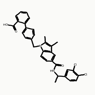 Cc1c(C)n(Cc2ccc(-c3ccccc3C(=O)O)cc2)c2ccc(C(=O)NC(C)c3ccc(Cl)c(Cl)c3)cc12